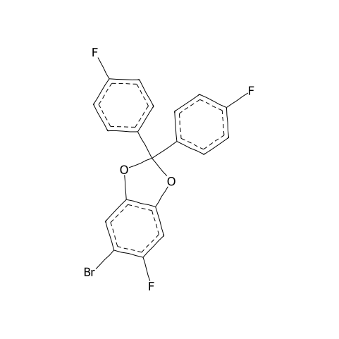 Fc1ccc(C2(c3ccc(F)cc3)Oc3cc(F)c(Br)cc3O2)cc1